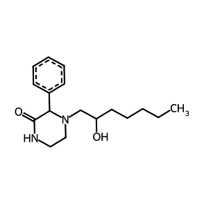 CCCCCC(O)CN1CCNC(=O)C1c1ccccc1